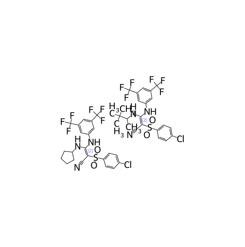 CC(N/C(Nc1cc(C(F)(F)F)cc(C(F)(F)F)c1)=C(\C#N)S(=O)(=O)c1ccc(Cl)cc1)C(C)(C)C.N#C/C(=C(/Nc1cc(C(F)(F)F)cc(C(F)(F)F)c1)NC1CCCC1)S(=O)(=O)c1ccc(Cl)cc1